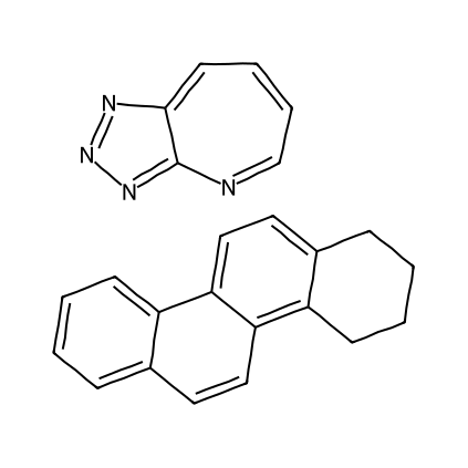 c1ccc2c(c1)ccc1c3c(ccc12)CCCC3.c1ccc2nnnc-2nc1